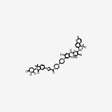 CCc1cc(Nc2ncc(Br)c(Nc3ccc4nc(C)ccc4c3P(C)(C)=O)n2)c(OC)cc1N1CCC(N2CCN(C(=O)C3CN(c4ccc5c(c4)C(=O)N(C4CCC(=O)NC4=O)C5(C)C)C3)CC2)CC1